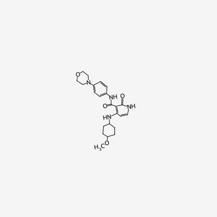 COC1CCC(Nc2cc[nH]c(=O)c2C(=O)Nc2ccc(N3CCOCC3)cc2)CC1